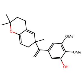 C=C(c1cc(O)c(OC)c(OC)c1)C1(C)C=C2CCC(C)(C)OC2=CC1